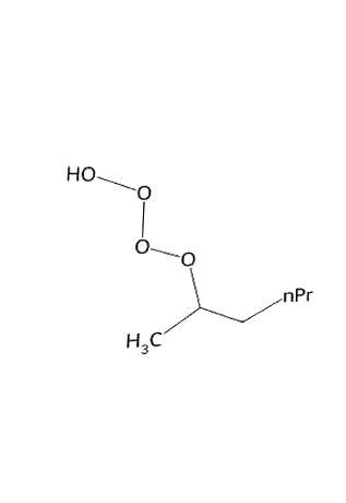 CCCCC(C)OOOO